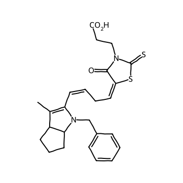 CC1=C(/C=C\C/C=C2/SC(=S)N(CCC(=O)O)C2=O)N(Cc2ccccc2)C2CCCC12